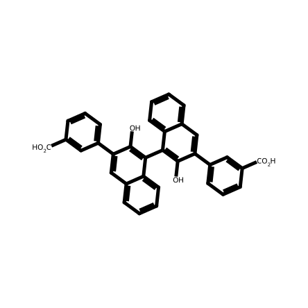 O=C(O)c1cccc(-c2cc3ccccc3c(-c3c(O)c(-c4cccc(C(=O)O)c4)cc4ccccc34)c2O)c1